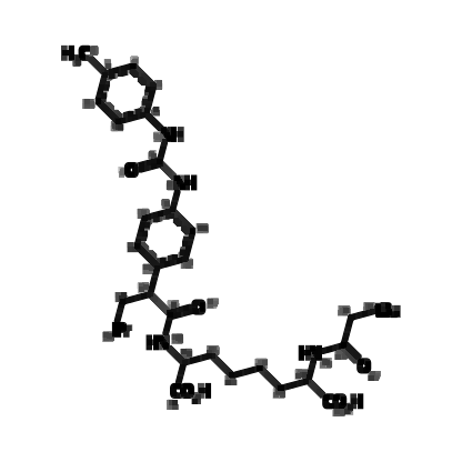 Cc1ccc(NC(=O)Nc2ccc(C(CC(C)C)C(=O)NC(CCCCC(NC(=O)CC(C)(C)C)C(=O)O)C(=O)O)cc2)cc1